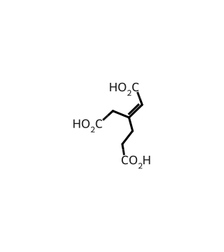 O=C(O)C=C(CCC(=O)O)CC(=O)O